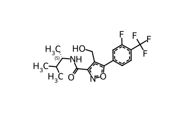 CC(C)[C@H](C)NC(=O)c1noc(-c2ccc(C(F)(F)F)c(F)c2)c1CO